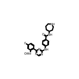 COc1cc(F)ccc1-c1ncnc(Nc2ccc(C(=O)NC3CCCNCC3)cc2)n1